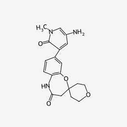 Cn1cc(N)cc(-c2ccc3c(c2)OC2(CCOCC2)CC(=O)N3)c1=O